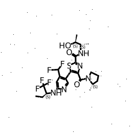 CC[C@H](Nc1cc(C(F)F)c(-c2sc(C(=O)N[C@@H](C)[C@H](C)O)nc2C(=O)N2CCC[C@@H]2C)cn1)C(F)(F)F